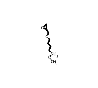 CO[SiH2]CCCCOCC1CO1